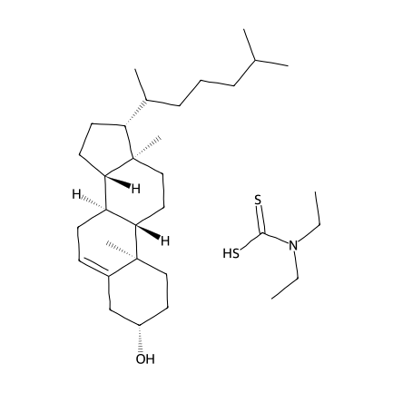 CC(C)CCCC(C)[C@H]1CC[C@H]2[C@@H]3CC=C4C[C@@H](O)CC[C@]4(C)[C@H]3CC[C@]12C.CCN(CC)C(=S)S